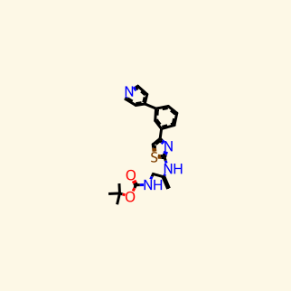 C=C(CNC(=O)OC(C)(C)C)Nc1nc(-c2cccc(-c3ccncc3)c2)cs1